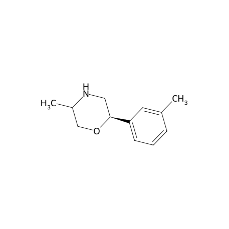 Cc1cccc([C@@H]2CNC(C)CO2)c1